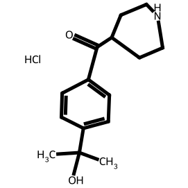 CC(C)(O)c1ccc(C(=O)C2CCNCC2)cc1.Cl